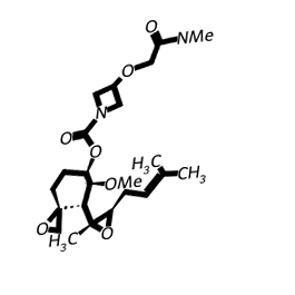 CNC(=O)COC1CN(C(=O)O[C@@H]2CC[C@]3(CO3)[C@@H]([C@@]3(C)O[C@@H]3CC=C(C)C)[C@@H]2OC)C1